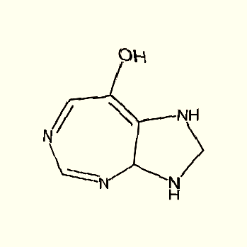 OC1=C2NCNC2N=CN=C1